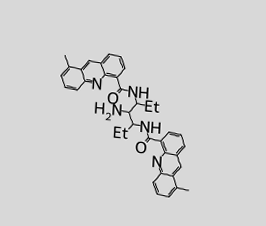 CCC(NC(=O)c1cccc2cc3c(C)cccc3nc12)C(N)C(CC)NC(=O)c1cccc2cc3c(C)cccc3nc12